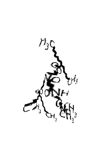 CCCCCCCCC(CCCCCC)C(=O)OCCCN(CCCOC(=O)C(CCCCCC)CCCCCCCC)C(=O)C=CC(=O)NCCOCCN(C)C